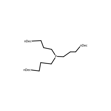 CCCCCCCCCCCCCP(CCCCCCCCCCCCC)CCCCCCCCCCCCC